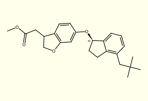 COC(=O)CC1COc2cc(O[C@@H]3CCc4c(CC(C)(C)C)cccc43)ccc21